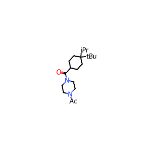 CC(=O)N1CCN(C(=O)C2CCC(C(C)C)(C(C)(C)C)CC2)CC1